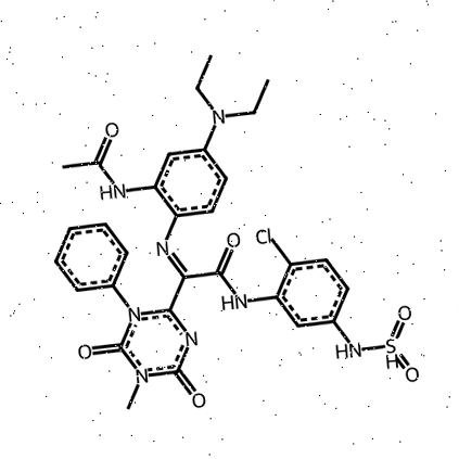 CCN(CC)c1ccc(/N=C(\C(=O)Nc2cc(N[SH](=O)=O)ccc2Cl)c2nc(=O)n(C)c(=O)n2-c2ccccc2)c(NC(C)=O)c1